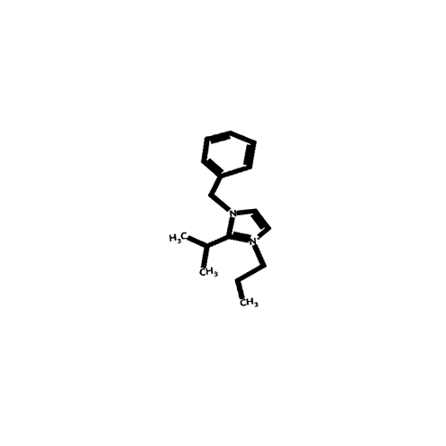 CCC[n+]1ccn(Cc2ccccc2)c1C(C)C